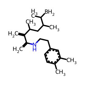 BC(C)C(C)CC(C)C(=C)C(=C)NCCc1ccc(C)c(C)c1